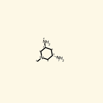 CN1C[C@@H](N)C[C@H](N)C1